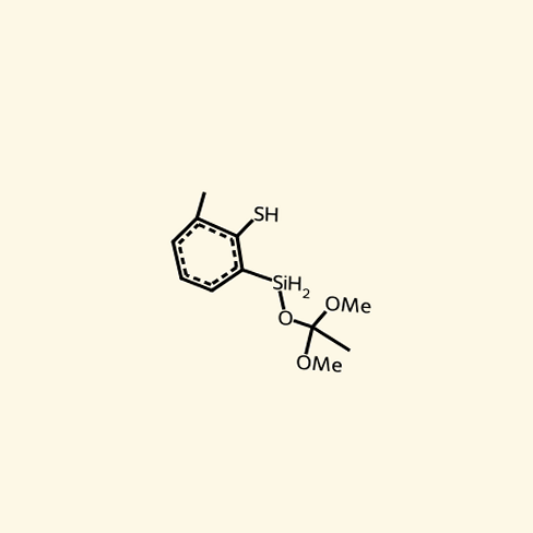 COC(C)(OC)O[SiH2]c1cccc(C)c1S